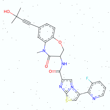 CN1C(=O)C(NC(=O)c2cn3c(-c4ncccc4F)csc3n2)COc2ccc(C#CC(C)(C)O)cc21